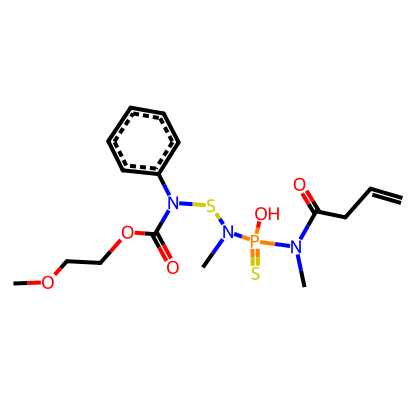 C=CCC(=O)N(C)P(O)(=S)N(C)SN(C(=O)OCCOC)c1ccccc1